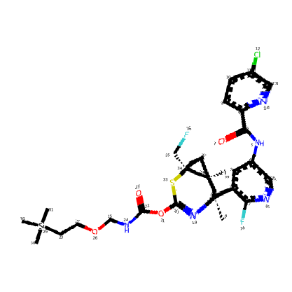 C[C@]1(c2cc(NC(=O)c3ccc(Cl)cn3)cnc2F)N=C(OC(=O)NCOCC[Si](C)(C)C)S[C@@]2(CF)C[C@H]21